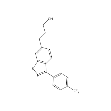 OCCCc1ccc2c(-c3ccc(C(F)(F)F)cc3)nsc2c1